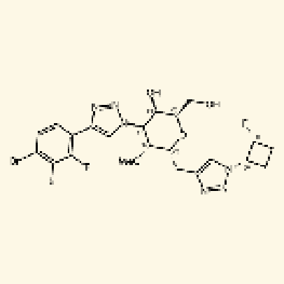 CO[C@@H]1[C@@H](n2cc(-c3ccc(Br)c(F)c3F)nn2)[C@@H](O)[C@@H](CO)O[C@@H]1Cc1cn([C@H]2CC[C@H]2F)nn1